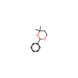 CC1(C)CCOC(c2ccccc2)O1